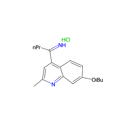 CCCC(=N)c1cc(C)nc2cc(OCC(C)C)ccc12.Cl